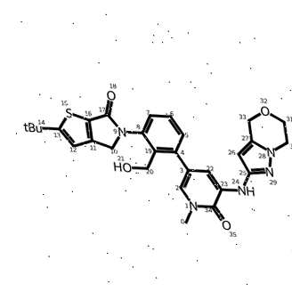 Cn1cc(-c2cccc(N3Cc4cc(C(C)(C)C)sc4C3=O)c2CO)cc(Nc2cc3n(n2)CCOC3)c1=O